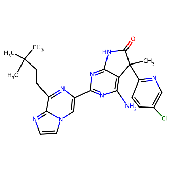 CC(C)(C)CCc1nc(-c2nc(N)c3c(n2)NC(=O)C3(C)c2ccc(Cl)cn2)cn2ccnc12